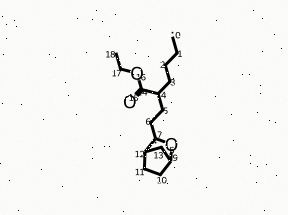 [CH2]CCCC(CC[C]1OC2CCC1C2)C(=O)OCC